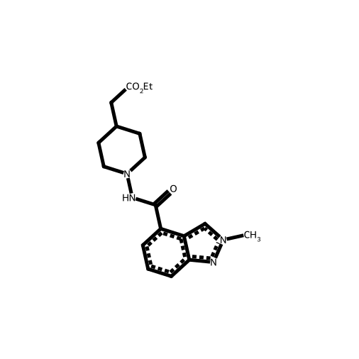 CCOC(=O)CC1CCN(NC(=O)c2cccc3nn(C)cc23)CC1